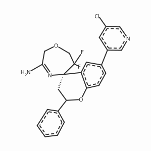 NC1=N[C@@]2(CC(c3ccccc3)Oc3ccc(-c4cncc(Cl)c4)cc32)C(F)(F)COC1